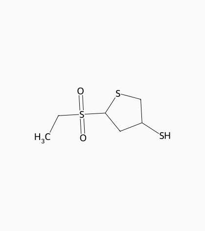 CCS(=O)(=O)C1CC(S)CS1